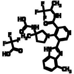 Cc1cccc2[nH]c(-c3cncc(C(=O)NC(C)C(F)(F)F)c3N3CCC(C)(NC(=O)O)C3)nc12.O=C(O)C(F)(F)F